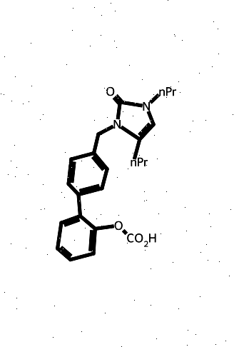 CCCc1cn(CCC)c(=O)n1Cc1ccc(-c2ccccc2OC(=O)O)cc1